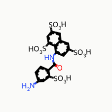 Nc1ccc(C(=O)Nc2cc(S(=O)(=O)O)cc3cc(S(=O)(=O)O)cc(S(=O)(=O)O)c23)c(S(=O)(=O)O)c1